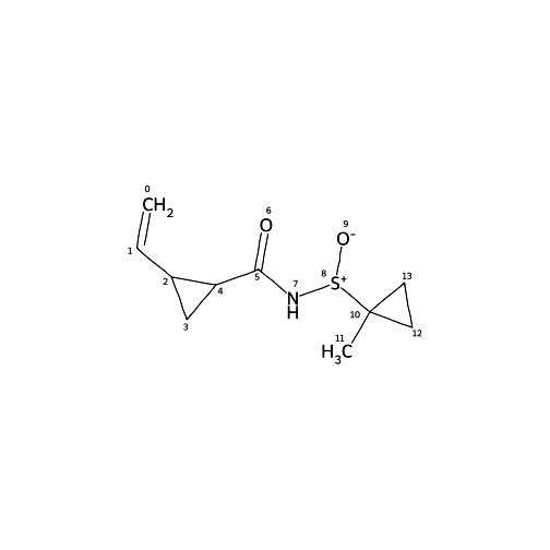 C=CC1CC1C(=O)N[S+]([O-])C1(C)CC1